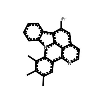 Cc1cc2c3nccc4cc(C(C)C)c5c6ccccc6n(c2c(C)c1C)c5c43